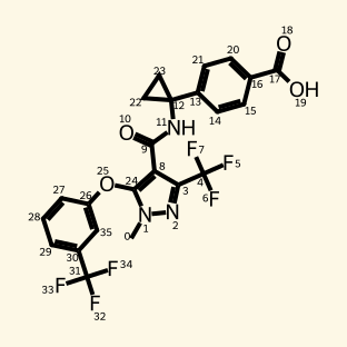 Cn1nc(C(F)(F)F)c(C(=O)NC2(c3ccc(C(=O)O)cc3)CC2)c1Oc1cccc(C(F)(F)F)c1